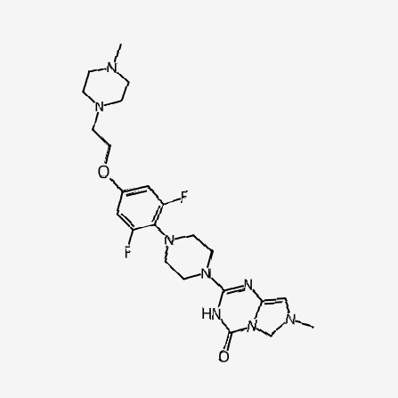 CN1C=C2N=C(N3CCN(c4c(F)cc(OCCN5CCN(C)CC5)cc4F)CC3)NC(=O)N2C1